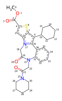 COC(=O)c1cc2c(s1)c(C1CCCCC1)c1n2CC(=O)N(CC(=O)N2CCCCC2)c2ccccc2-1